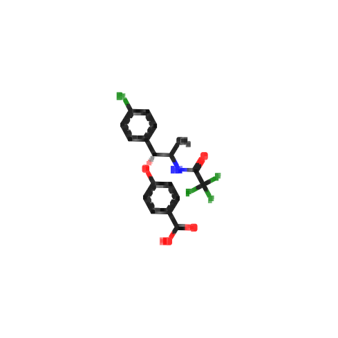 CC(NC(=O)C(F)(F)F)[C@H](Oc1ccc(C(=O)O)cc1)c1ccc(Br)cc1